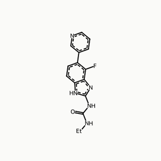 CCNC(=O)Nc1nc2c(F)c(-c3cccnc3)ccc2[nH]1